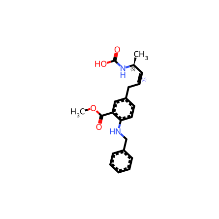 COC(=O)c1cc(C/C=C\[C@H](C)NC(=O)O)ccc1NCc1ccccc1